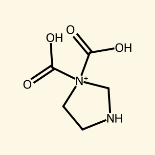 O=C(O)[N+]1(C(=O)O)CCNC1